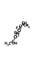 CCC(O)C=Cc1ccc2c(c1)CCN(c1ccc(N3CC[C@@H](N(C)C)C3)c(F)c1)C2=O